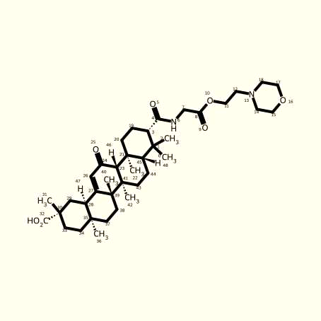 CC1(C)[C@@H](C(=O)NCC(=O)OCCN2CCOCC2)CC[C@]2(C)[C@H]3C(=O)C=C4[C@@H]5C[C@@](C)(C(=O)O)CC[C@]5(C)CC[C@@]4(C)[C@]3(C)CC[C@@H]12